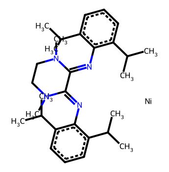 CC(C)c1cccc(C(C)C)c1N=C1C(=Nc2c(C(C)C)cccc2C(C)C)N(C)CCN1C.[Ni]